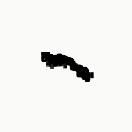 CC1(C)[C@H](Oc2ccc(C#N)c(Cl)c2)C(C)(C)[C@H]1N1Cc2cc(N3CCN(CC4CCCN(c5ccc6c(c5)C(=O)N(C5CCC(=O)NC5=O)C6=O)C4)CC3)ccc2C1=O